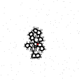 c1ccc(-n2c3ccccc3c3c(-n4c5ccccc5c5ccc6ccccc6c54)c4ccccc4cc32)c(-c2nc(-c3cccc4ccccc34)nc(-c3cccc4ccccc34)n2)c1